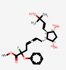 CCCOC(=O)C(F)(CC=C=CC[C@@H]1[C@@H](C=CC(C)(C)[16OH])[C@H]([16OH])C[C@@H]1[16OH])Oc1ccccc1